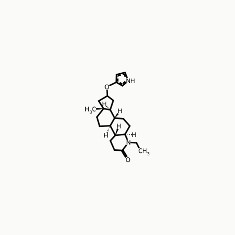 CCN1C(=O)CC[C@@H]2[C@H]3CC[C@]4(C)CC(Oc5cc[nH]c5)C[C@H]4[C@@H]3CC[C@H]21